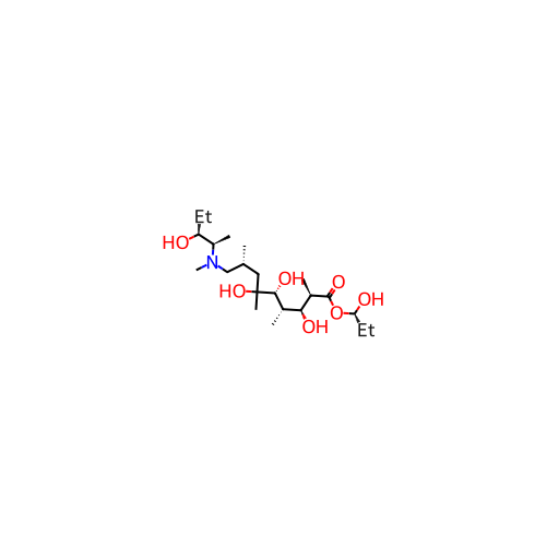 CC[C@H](O)OC(=O)[C@H](C)[C@@H](O)[C@H](C)[C@@H](O)C(C)(O)C[C@@H](C)CN(C)[C@H](C)[C@@H](O)CC